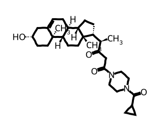 C[C@@H](C(=O)CC(=O)N1CCN(C(=O)C2CC2)CC1)[C@H]1CC[C@H]2[C@@H]3CC=C4C[C@@H](O)CC[C@]4(C)[C@H]3CC[C@@]12C